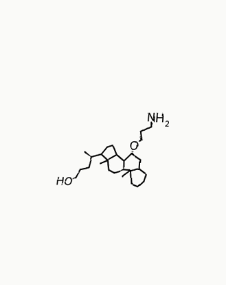 C[C@H](CCCO)C1CCC2C3C(CCC21C)C1(C)CCCCC1C[C@H]3OCCCN